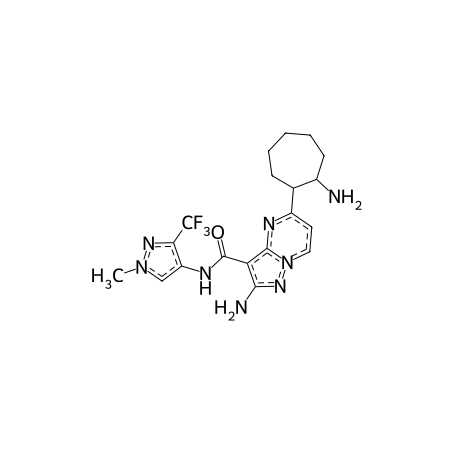 Cn1cc(NC(=O)c2c(N)nn3ccc(C4CCCCCC4N)nc23)c(C(F)(F)F)n1